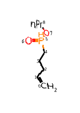 C=CCCC[PH](=O)OCCC